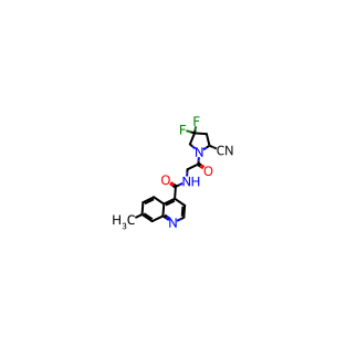 Cc1ccc2c(C(=O)NCC(=O)N3CC(F)(F)CC3C#N)ccnc2c1